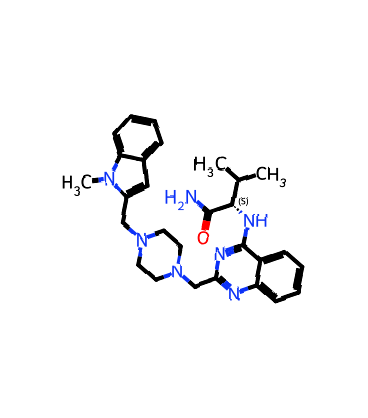 CC(C)[C@H](Nc1nc(CN2CCN(Cc3cc4ccccc4n3C)CC2)nc2ccccc12)C(N)=O